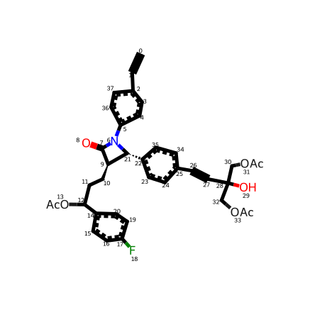 C#Cc1ccc(N2C(=O)[C@H](CCC(OC(C)=O)c3ccc(F)cc3)[C@H]2c2ccc(C#CC(O)(COC(C)=O)COC(C)=O)cc2)cc1